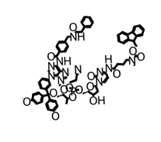 COc1ccc(C(OC[C@@H](OCn2cnc3c(NC(=O)c4ccc(CNC(=O)Cc5ccccc5)cc4)ncnc32)C(C)OP(OCCC#N)OC[C@H]2O[C@@H](n3ccc(NC(=O)CCCN(C)C(=O)OCC4c5ccccc5-c5ccccc54)nc3=O)CC2O)(c2ccccc2)c2ccc(OC)cc2)cc1